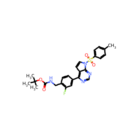 Cc1ccc(S(=O)(=O)n2ccc3c(-c4ccc(CNC(=O)OC(C)(C)C)c(F)c4)ncnc32)cc1